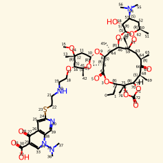 CC[C@H]1OC(=O)[C@H](C)[C@@H](O[C@H]2C[C@@](C)(OC)[C@@H](OCCNCCSc3cc4c(=O)c(C(=O)O)cn(N(C)C)c4cn3)[C@H](C)O2)[C@H](C)[C@@H](O[C@@H]2O[C@H](C)C[C@H](N(C)C)[C@H]2O)[C@](C)(OC)C[C@@H](C)C(=O)[C@@H](C)[C@H]2OC(=O)O[C@@]21C